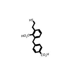 O=C(O)c1ccc(Cc2cccc(CCS)c2C(=O)O)cc1